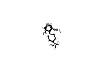 CS(=O)(=O)C1CCN(c2c(N)cncc2F)CC1